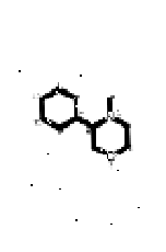 CN1CCOCC1C1CCCCC1